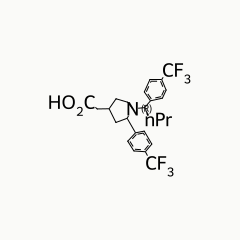 CCC[C@H](c1ccc(C(F)(F)F)cc1)N1CCC(CC(=O)O)CC1c1ccc(C(F)(F)F)cc1